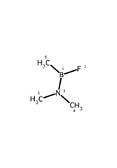 CB(F)N(C)C